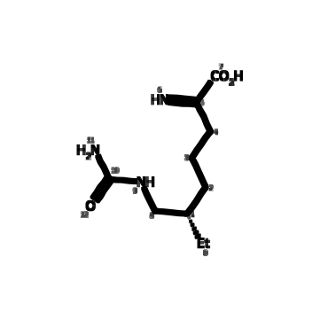 CC[C@@H](CCCC(=N)C(=O)O)CNC(N)=O